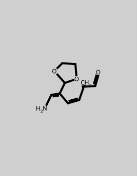 C=C(C=O)/C=C\C(=C/N)C1OCCO1